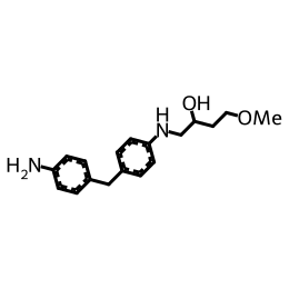 COCCC(O)CNc1ccc(Cc2ccc(N)cc2)cc1